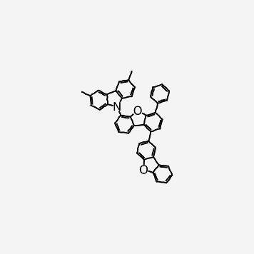 Cc1ccc2c(c1)c1cc(C)ccc1n2-c1cccc2c1oc1c(-c3ccccc3)ccc(-c3ccc4oc5ccccc5c4c3)c12